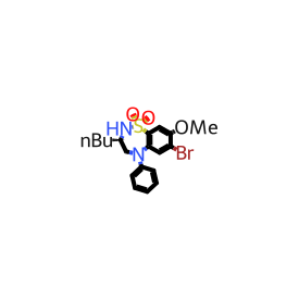 CCCC[C@@H]1CN(c2ccccc2)c2cc(Br)c(OC)cc2S(=O)(=O)N1